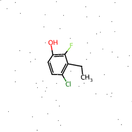 CCc1c(Cl)ccc(O)c1F